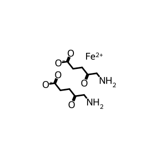 NCC(=O)CCC(=O)[O-].NCC(=O)CCC(=O)[O-].[Fe+2]